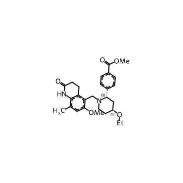 CCO[C@H]1CCN(Cc2c(OC)cc(C)c3c2CCC(=O)N3)[C@H](c2ccc(C(=O)OC)cc2)C1